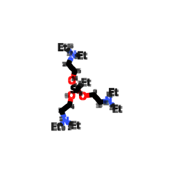 CCN(CC)CCO[Si](CC)(OCCN(CC)CC)OCCN(CC)CC